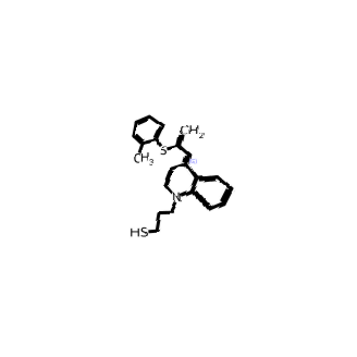 C=C(/C=C1\C=CN(CCCS)c2ccccc21)Sc1ccccc1C